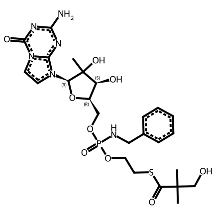 CC(C)(CO)C(=O)SCCOP(=O)(NCc1ccccc1)OC[C@H]1O[C@@H](n2ccn3c(=O)nc(N)nc23)C(C)(O)[C@H]1O